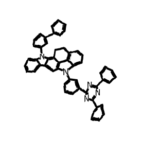 c1ccc(-c2cccc(-n3c4ccccc4c4cc5c6c(c43)CCc3cccc(c36)n5-c3cccc(-c4nc(-c5ccccc5)nc(-c5ccccc5)n4)c3)c2)cc1